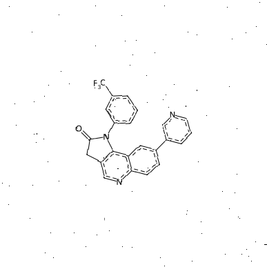 O=C1Cc2cnc3ccc(-c4cccnc4)cc3c2N1c1cccc(C(F)(F)F)c1